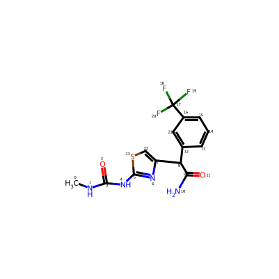 CNC(=O)Nc1nc(C(C(N)=O)c2cccc(C(F)(F)F)c2)cs1